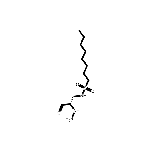 CCCCCCCCS(=O)(=O)NC[C@@H](C=O)NN